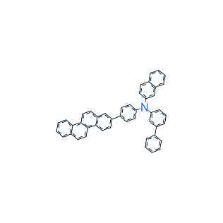 c1ccc(-c2cccc(N(c3ccc(-c4ccc5c(ccc6c7ccccc7ccc56)c4)cc3)c3ccc4ccccc4c3)c2)cc1